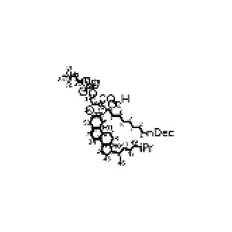 CCCCCCCCCCCCCCCCCC(=O)OC(C(=O)O)[C@H](COP(=O)([O-])OCC[N+](C)(C)C)OC1CC[C@@]2(C)C(=CCC3C2CC[C@@]2(C)C3CC[C@@H]2[C@H](C)CCCC(C)C)C1